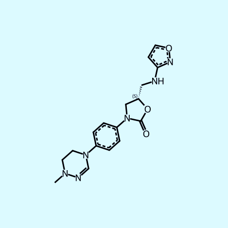 CN1CCN(c2ccc(N3C[C@H](CNc4ccon4)OC3=O)cc2)C=N1